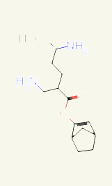 NCC(CC[C@H](N)C(=O)O)C(=O)OC1=CC2CCC1C2